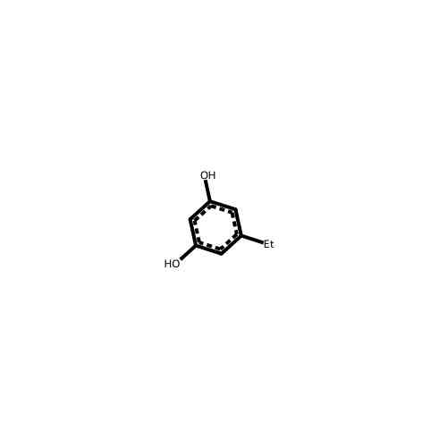 CCc1cc(O)cc(O)c1